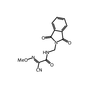 CON=C(C#N)C(=O)NCN1C(=O)c2ccccc2C1=O